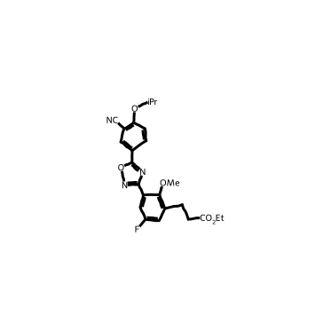 CCOC(=O)CCc1cc(F)cc(-c2noc(-c3ccc(OC(C)C)c(C#N)c3)n2)c1OC